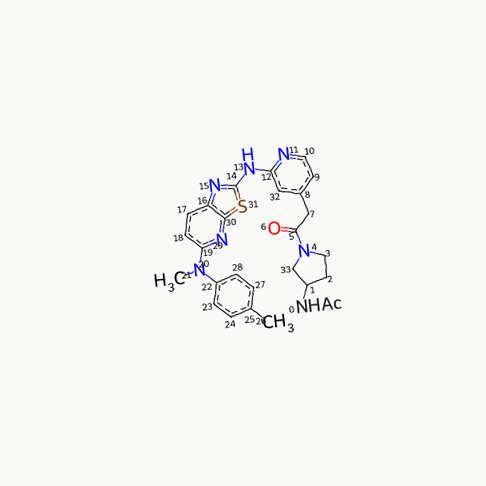 CC(=O)NC1CCN(C(=O)Cc2ccnc(Nc3nc4ccc(N(C)c5ccc(C)cc5)nc4s3)c2)C1